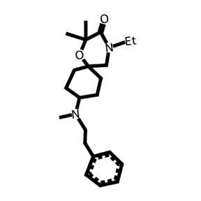 CCN1CC2(CCC(N(C)CCc3ccccc3)CC2)OC(C)(C)C1=O